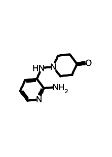 Nc1ncccc1NN1CCC(=O)CC1